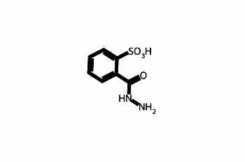 NNC(=O)c1ccccc1S(=O)(=O)O